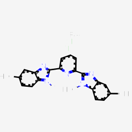 Cc1ccc2c(c1)nc(-c1cccc(-c3nc4cc(C)ccc4n3C)n1)n2C.[Cl-].[Cl-].[Fe+2]